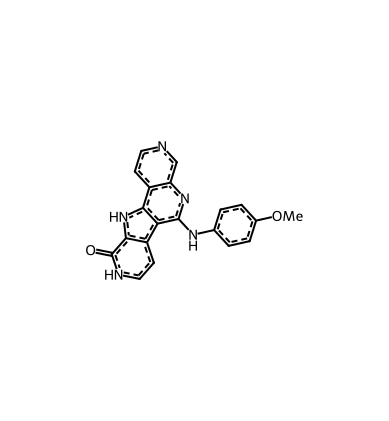 COc1ccc(Nc2nc3cnccc3c3[nH]c4c(=O)[nH]ccc4c23)cc1